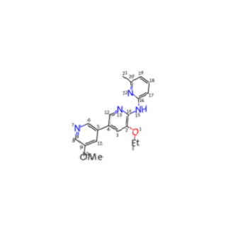 CCOc1cc(-c2cncc(OC)c2)cnc1Nc1cccc(C)n1